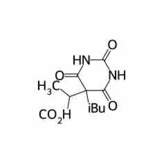 CCC(C)C1(C(C)C(=O)O)C(=O)NC(=O)NC1=O